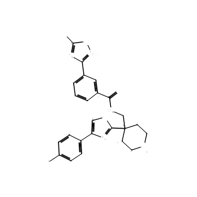 Cc1nc(-c2cccc(C(=O)NCC3(c4nc(-c5ccc(Cl)cc5)cs4)CCOCC3)c2)no1